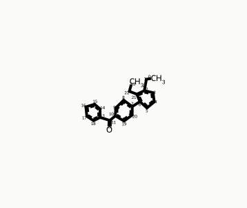 CCc1cccc(-c2ccc(C(=O)c3ccccc3)cc2)c1CC